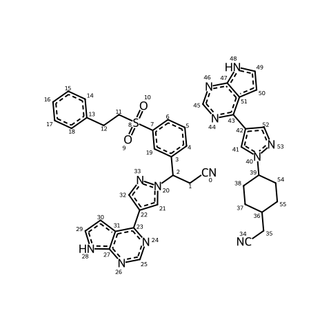 N#CCC(c1cccc(S(=O)(=O)CCc2ccccc2)c1)n1cc(-c2ncnc3[nH]ccc23)cn1.N#CCC1CCC(n2cc(-c3ncnc4[nH]ccc34)cn2)CC1